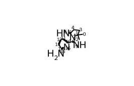 CC1(C)CCC(=N)N1C(=N)c1cccc(N)n1